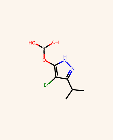 CC(C)c1n[nH]c(OB(O)O)c1Br